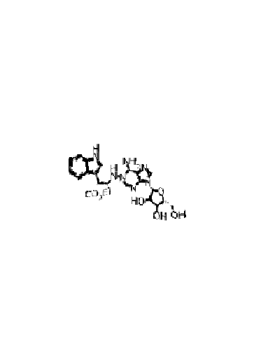 CCOC(=O)[C@H](Cc1c[nH]c2ccccc12)NN1C=Nc2c(ncn2[C@@H]2O[C@H](CO)C(O)C2O)C1N